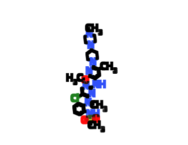 COc1nc(N2CCC(N3CCN(C)CC3)CC2)c(C)cc1Nc1ncc(Cl)c(N(C)c2ccccc2NS(C)(=O)=O)n1